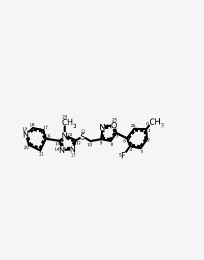 Cc1ccc(F)c(-c2cc(CSc3nnc(-c4ccncc4)n3C)no2)c1